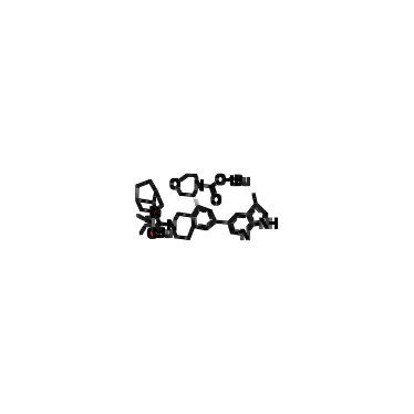 Cc1c[nH]c2ncc(-c3cc4c(c([C@@H]5COCCN5C(=O)OC(C)(C)C)c3)CN(C(=O)N3CC5CCC(C3)C5O[Si](C)(C)C(C)(C)C)CC4)cc12